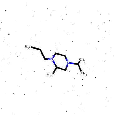 CCCN1CCN(C(C)C)CC1C